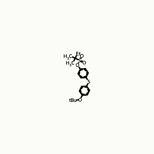 CCC(C)(C)S(=O)(=O)Oc1ccc(Sc2ccc(OC(C)(C)C)cc2)cc1